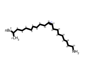 CCCCC(C)CCCCCCCC/C=C\CCCCCCCCN